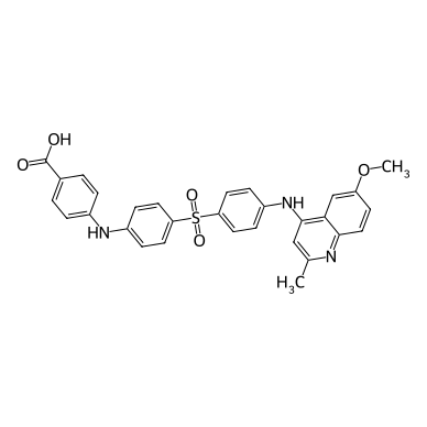 COc1ccc2nc(C)cc(Nc3ccc(S(=O)(=O)c4ccc(Nc5ccc(C(=O)O)cc5)cc4)cc3)c2c1